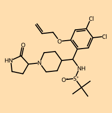 C=CCOc1cc(Cl)c(Cl)cc1C(N[S+]([O-])C(C)(C)C)C1CCN(C2CCNC2=O)CC1